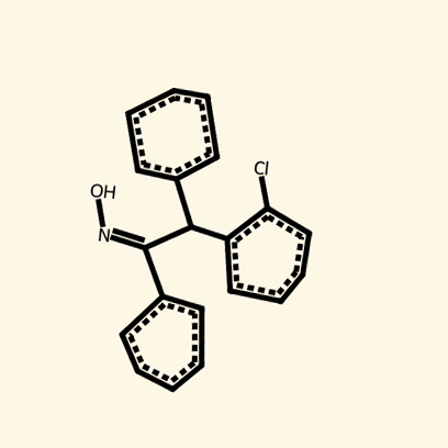 ON=C(c1ccccc1)C(c1ccccc1)c1ccccc1Cl